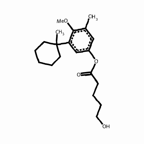 COc1c(C)cc(OC(=O)CCCCO)cc1C1(C)CCCCC1